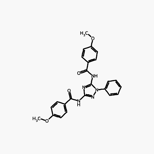 COc1ccc(C(=O)Nc2nc(NC(=O)c3ccc(OC)cc3)n(-c3ccccc3)n2)cc1